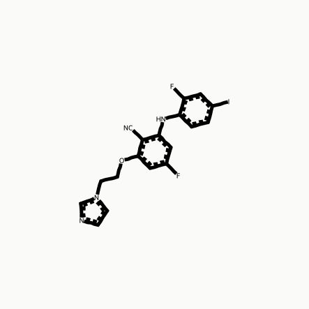 N#Cc1c(Nc2ccc(I)cc2F)cc(F)cc1OCCn1ccnc1